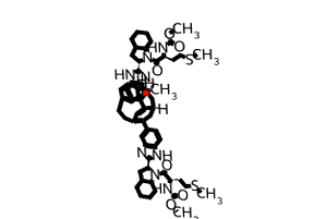 COC(=O)N[C@@H](CCSC)C(=O)N1C2CCCCC2C[C@H]1c1nc2cc(C3=CC4=C(c5ccc6[nH]c([C@@H]7CC8CCCCC8N7C(=O)[C@H](CCSC)NC(=O)OC)nc6c5)C[C@@H]3C[C@@H](C)[C@@H]3C=CC(=CC3)CC4)ccc2[nH]1